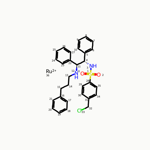 O=S(=O)(N[C@@H](c1ccccc1)[C@@H](NCCCc1ccccc1)c1ccccc1)c1ccc(CCl)cc1.[Ru+2]